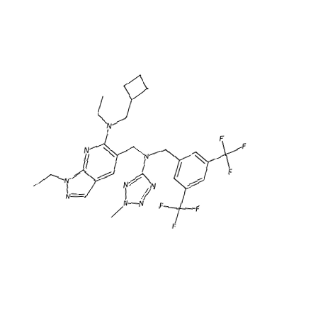 CCN(CC1CCC1)c1nc2c(cnn2CC)cc1CN(Cc1cc(C(F)(F)F)cc(C(F)(F)F)c1)c1nnn(C)n1